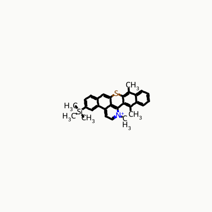 Cc1c2c(c(C)c3ccccc13)-c1c3c(cc4ccc([Si](C)(C)C)cc4c3cc[n+]1C)S2